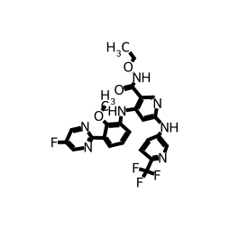 CCONC(=O)c1cnc(Nc2ccc(C(F)(F)F)nc2)cc1Nc1cccc(-c2ncc(F)cn2)c1OC